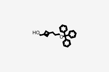 OCC12CC(CCCOC(c3ccccc3)(c3ccccc3)c3ccccc3)(C1)C2